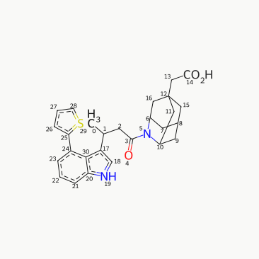 CC(CC(=O)N1C2CC3CC1CC(CC(=O)O)(C3)C2)c1c[nH]c2cccc(-c3cccs3)c12